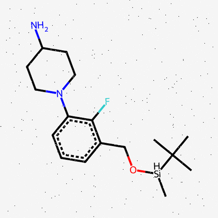 C[SiH](OCc1cccc(N2CCC(N)CC2)c1F)C(C)(C)C